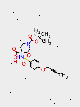 CC#CCOc1ccc(S(=O)(=O)NC2(C(=O)O)CCN(C(=O)OC(C)(C)C)CC2)cc1